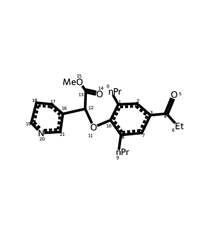 CCCc1cc(C(=O)CC)cc(CCC)c1OC(C(=O)OC)c1cccnc1